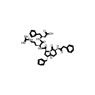 N=C(N)NCCC[C@H](NC(=O)[C@@H]1C[C@@H](Cc2ccccc2)[C@@H]2CC[C@H](NC(=O)Cc3ccccc3)C(=O)N12)C(=O)N[C@H](CC(=O)O)Cc1ccccc1